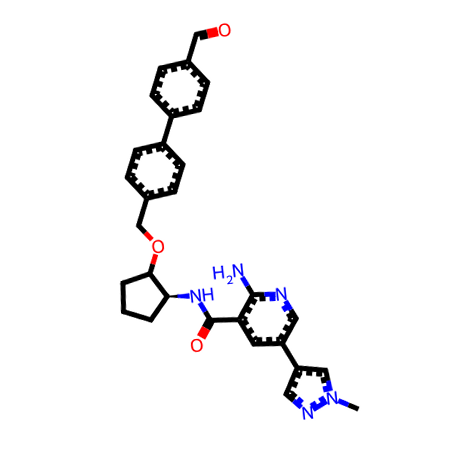 Cn1cc(-c2cnc(N)c(C(=O)N[C@H]3CCCC3OCc3ccc(-c4ccc(C=O)cc4)cc3)c2)cn1